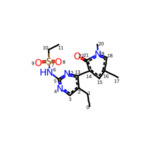 CCc1cnc(NS(=O)(=O)CC)nc1-c1cc(C)cn(C)c1=O